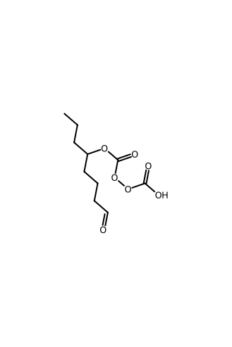 CCCC(CCCC=O)OC(=O)OOC(=O)O